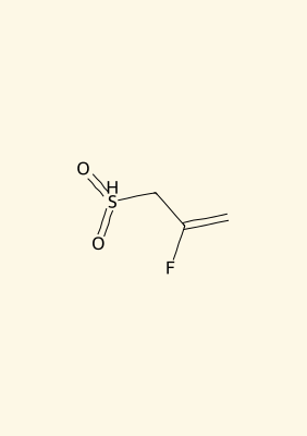 C=C(F)C[SH](=O)=O